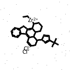 C[CH2][Zr+2][CH]1CCCC2C1=C1Cc3ccccc3C1=C1C=CCC(C3C=CC(C(C)(C)C)=C3)C12.[Cl-].[Cl-]